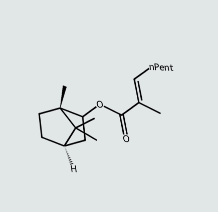 CCCCCC=C(C)C(=O)OC1C[C@H]2CC[C@@]1(C)C2(C)C